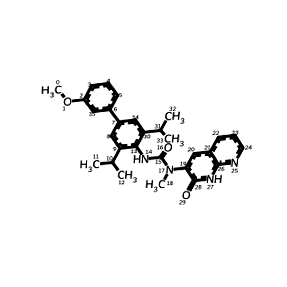 COc1cccc(-c2cc(C(C)C)c(NC(=O)N(C)c3cc4cccnc4[nH]c3=O)c(C(C)C)c2)c1